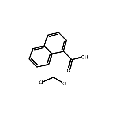 ClCCl.O=C(O)c1cccc2ccccc12